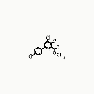 COC(=O)c1nc(-c2ccc(Cl)cc2)cc(Cl)c1Cl